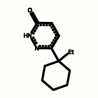 CCC1(c2ccc(=O)[nH]n2)CCCCC1